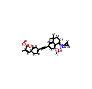 COC(=O)C(C)=CC1C=CC(C#Cc2cc(OC)c3c(c2)C(C)(C)CCC3N(C)C2CC2)=CC1